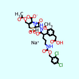 COc1ccc(CC(=O)O)cc1C(CCCNC(=O)OCc1ccc(Cl)cc1Cl)C(=O)N[C@H]1C(=O)N2C(C(=O)[O-])=C(COC(C)=O)CS(=O)(=O)[C@@H]12.[Na+]